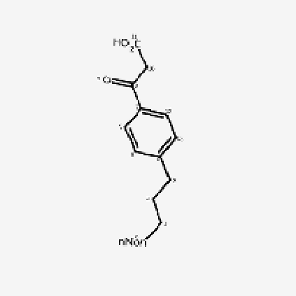 CCCCCCCCCCCCc1ccc(C(=O)CC(=O)O)cc1